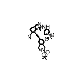 CC(C)(C)OC(=O)N1CCc2cc(C#Cc3c(C#N)ccc4cnc(Nc5ccc(S(C)(=O)=O)cc5)nc34)ccc2C1